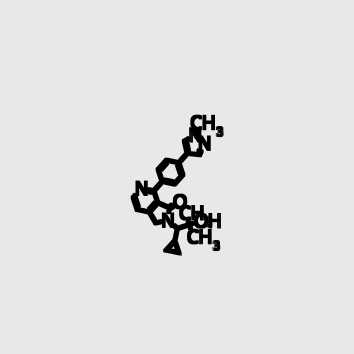 Cn1cc(-c2ccc(-c3nccc4c3C(=O)N(C(C3CC3)C(C)(C)O)C4)cc2)cn1